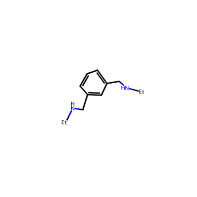 CCNCc1cccc(CNCC)c1